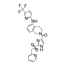 O=C(c1c[nH]c(S(=O)(=O)Cc2ccccn2)n1)N1CCc2c(cccc2Nc2ccc(C(F)(F)F)cn2)C1